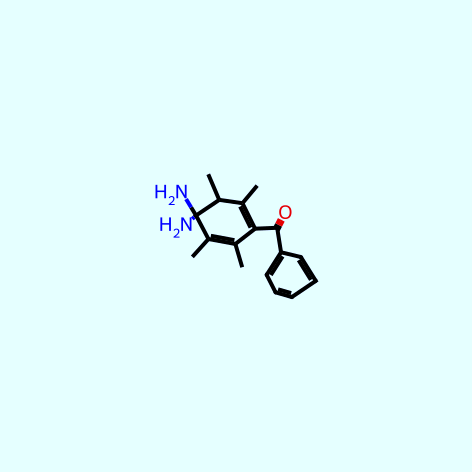 CC1=C(C)C(N)(N)C(C)C(C)=C1C(=O)c1ccccc1